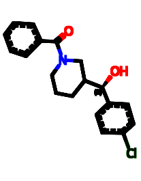 O=C(c1ccccc1)N1CCCC([C@@H](O)c2ccc(Cl)cc2)C1